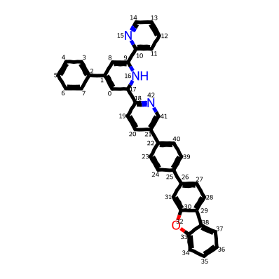 C1=C(c2ccccc2)C=C(c2ccccn2)NC1c1ccc(-c2ccc(-c3ccc4c(c3)oc3ccccc34)cc2)cn1